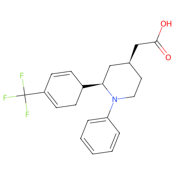 O=C(O)C[C@H]1CCN(c2ccccc2)[C@@H](C2C=CC(C(F)(F)F)=CC2)C1